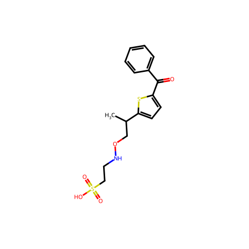 CC(CONCCS(=O)(=O)O)c1ccc(C(=O)c2ccccc2)s1